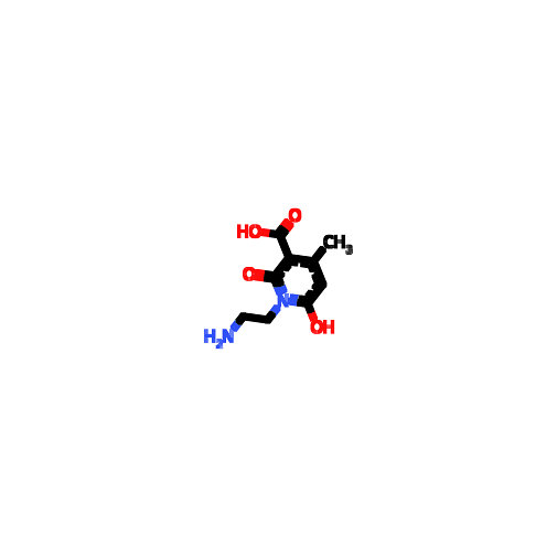 Cc1cc(O)n(CCN)c(=O)c1C(=O)O